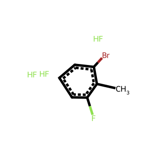 Cc1c(F)cccc1Br.F.F.F